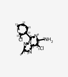 Cc1nc2c(Cl)c(N)nc(-c3ccccc3Cl)n2n1